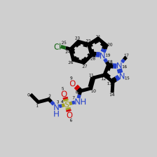 CCCNS(=O)(=O)NC(=O)/C=C/c1c(C)nn(C)c1-n1ccc2cc(Cl)ccc21